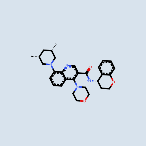 C[C@@H]1C[C@H](C)CN(c2cccc3c(N4CCOCC4)c(C(=O)N[C@H]4CCOc5ccccc54)cnc23)C1